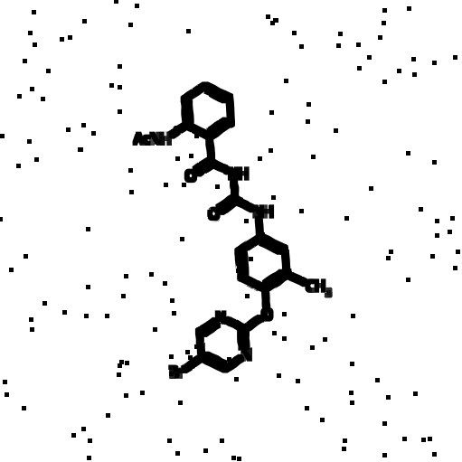 CC(=O)Nc1ccccc1C(=O)NC(=O)Nc1ccc(Oc2ncc(Br)cn2)c(C)c1